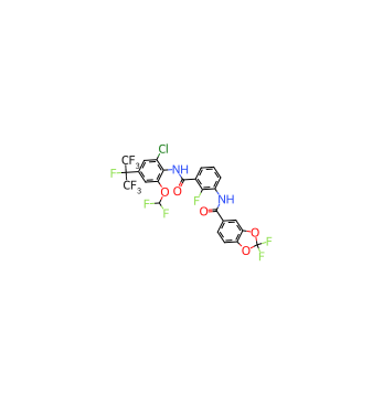 O=C(Nc1cccc(C(=O)Nc2c(Cl)cc(C(F)(C(F)(F)F)C(F)(F)F)cc2OC(F)F)c1F)c1ccc2c(c1)OC(F)(F)O2